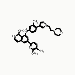 COc1nc(-c2cc3c(c(Nc4ccc(-c5cnn(CCN6CCOCC6)c5)c(C)c4)n2)C(C=O)NC=C3)cnc1N